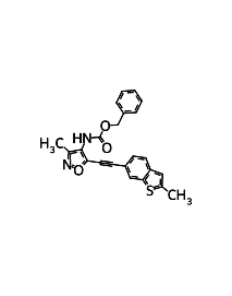 Cc1cc2ccc(C#Cc3onc(C)c3NC(=O)OCc3ccccc3)cc2s1